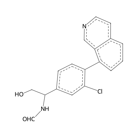 O=CNC(CO)c1ccc(-c2cccc3ccncc23)c(Cl)c1